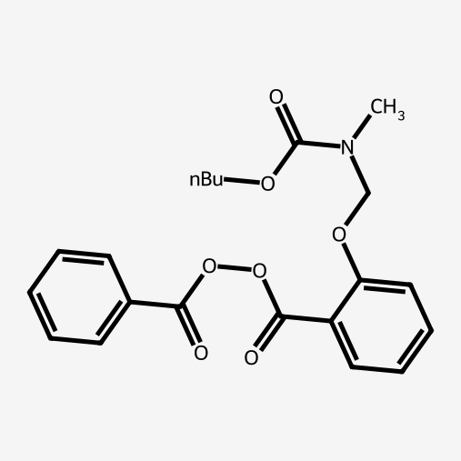 CCCCOC(=O)N(C)COc1ccccc1C(=O)OOC(=O)c1ccccc1